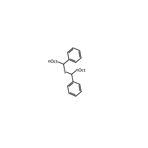 CCCCCCCCC(SC(CCCCCCCC)c1ccccc1)c1ccccc1